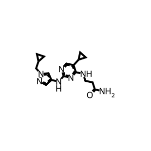 NC(=O)CCNc1nc(Nc2cnn(CC3CC3)c2)ncc1C1CC1